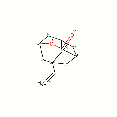 C=CC12CC3CC(C1)OC(=O)C(C3)C2